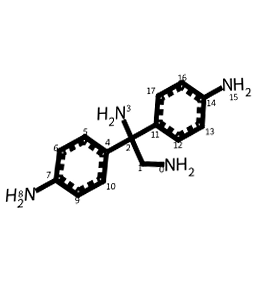 NCC(N)(c1ccc(N)cc1)c1ccc(N)cc1